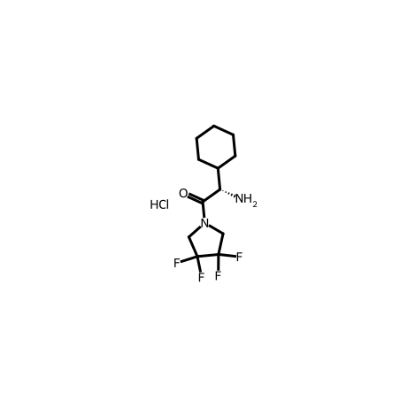 Cl.N[C@H](C(=O)N1CC(F)(F)C(F)(F)C1)C1CCCCC1